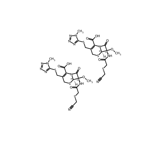 CO[C@@]1(NC(=O)CSCC#N)C(=O)N2C(C(=O)O)=C(CSc3nnnn3C)CS[C@@H]21.CO[C@@]1(NC(=O)CSCC#N)C(=O)N2C(C(=O)O)=C(CSc3nnnn3C)CS[C@@H]21